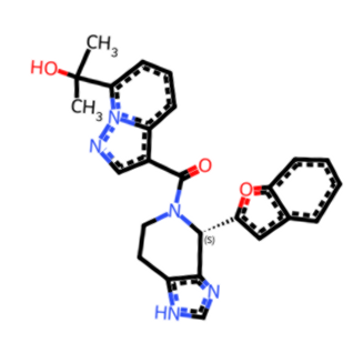 CC(C)(O)c1cccc2c(C(=O)N3CCc4[nH]cnc4[C@H]3c3cc4ccccc4o3)cnn12